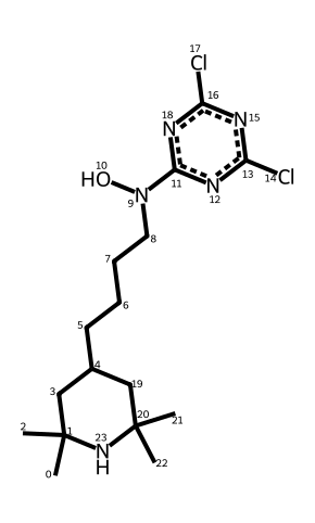 CC1(C)CC(CCCCN(O)c2nc(Cl)nc(Cl)n2)CC(C)(C)N1